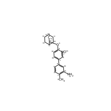 Cc1ccc(-c2ccc(OC3CN4CCC3CC4)cc2)cc1N.Cl